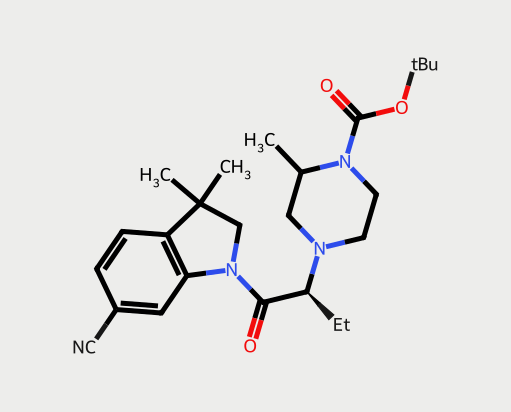 CC[C@@H](C(=O)N1CC(C)(C)c2ccc(C#N)cc21)N1CCN(C(=O)OC(C)(C)C)C(C)C1